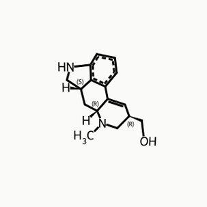 CN1C[C@H](CO)C=C2c3cccc4c3[C@@H](CN4)C[C@H]21